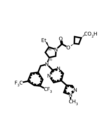 CC[C@@H]1C[C@H](N(Cc2cc(C(F)(F)F)cc(C(F)(F)F)c2)c2ncc(-c3cnn(C)c3)cn2)CN1C(=O)O[C@H]1C[C@@H](C(=O)O)C1